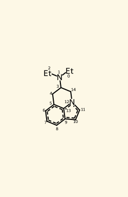 CCN(CC)C1Cc2cccc3ccn(c23)C1